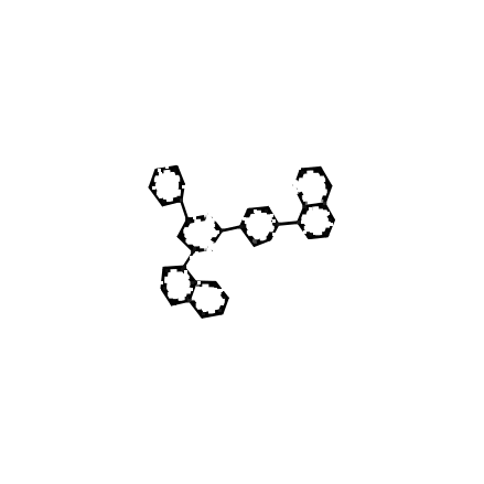 c1ccc(-c2cc(-c3cccc4ccccc34)nc(-c3ccc(-c4cccc5cccnc45)cc3)n2)cc1